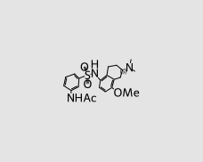 COc1ccc(NS(=O)(=O)c2cccc(NC(C)=O)c2)c2c1C[C@@H](N(C)C)CC2